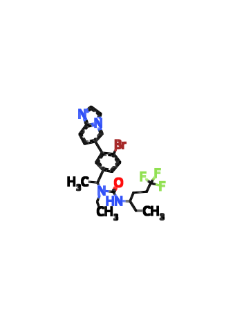 CCC(CCC(F)(F)F)NC(=O)N(CC)C(C)c1ccc(Br)c(-c2ccc3nccn3c2)c1